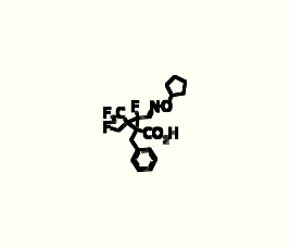 O=C(O)C1(Cc2ccccc2)C(F)(C=NOC2CCCC2)C1(CF)C(F)(F)F